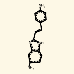 Nc1ccc(C=Cc2nc3cc(N)ccc3[nH]2)cc1